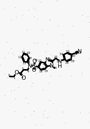 CCOC(=O)CCN(c1ccccc1)S(=O)(=O)c1ccc2c(c1)nc(CNc1ccc(C#N)cc1)n2C